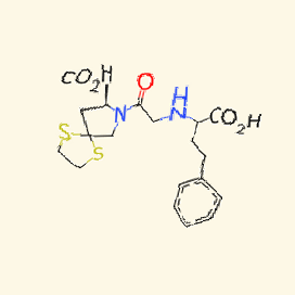 O=C(O)C(CCc1ccccc1)NCC(=O)N1CC2(C[C@H]1C(=O)O)SCCS2